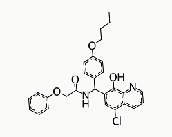 CCCCOc1ccc(C(NC(=O)COc2ccccc2)c2cc(Cl)c3cccnc3c2O)cc1